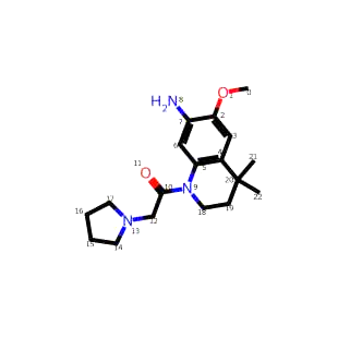 COc1cc2c(cc1N)N(C(=O)CN1CCCC1)CCC2(C)C